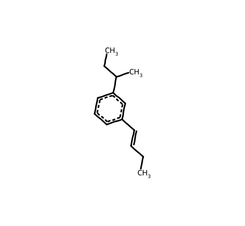 CCC=Cc1cccc(C(C)CC)c1